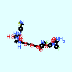 COc1cc2c(Oc3ccc(N(C(=O)C4(C(N)=O)CC4)c4ccc(F)cc4)cc3F)ccnc2cc1OCCCOCCCOCCC(=O)NC(C(=O)N1C[C@@H](O)C[C@H]1C(=O)NCc1ccc(-c2scnc2C)cc1)C(C)(C)C